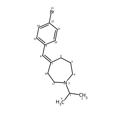 CC(C)N1CCCC(=Cc2ccc(Br)cc2)CC1